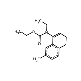 CCOC(=O)N(CC)C1=CCCc2ccc(C)cc21